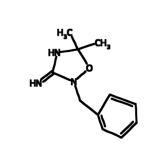 CC1(C)NC(=N)N(Cc2ccccc2)O1